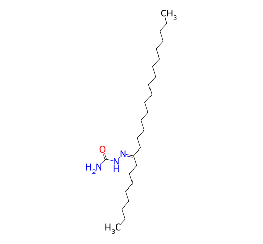 CCCCCCCCCCCCCCCCC(CCCCCCCC)=NNC(N)=O